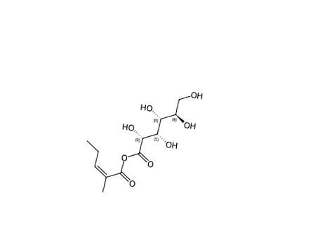 CCC=C(C)C(=O)OC(=O)[C@H](O)[C@@H](O)[C@H](O)[C@H](O)CO